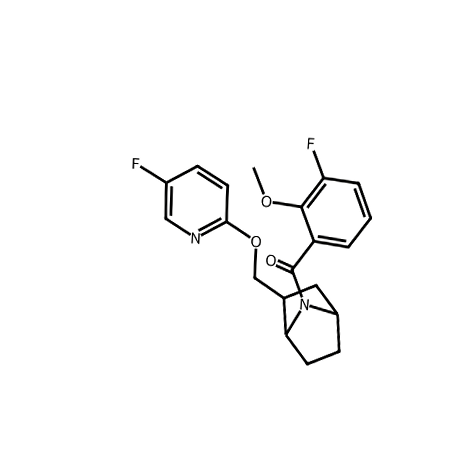 COc1c(F)cccc1C(=O)N1C2CCC1C(COc1ccc(F)cn1)C2